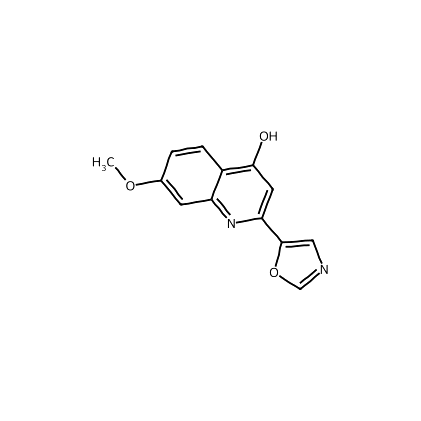 COc1ccc2c(O)cc(-c3cnco3)nc2c1